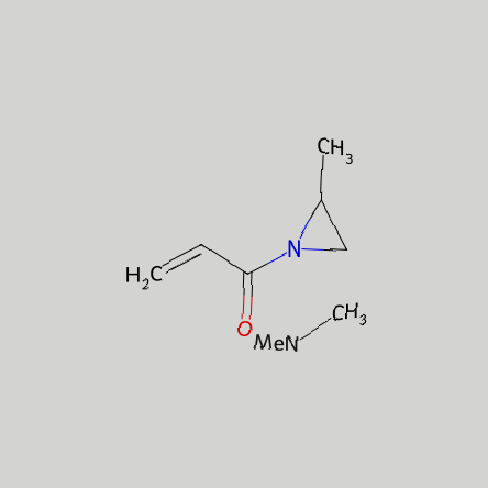 C=CC(=O)N1CC1C.CNC